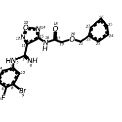 N=C(Nc1ccc(F)c(Br)c1)c1nonc1NC(=O)COCc1ccccc1